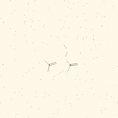 CCCCSOC(N)=S.NC(O)=S